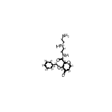 NCCNCCNC(=O)c1occc(=O)c1OCc1ccccc1